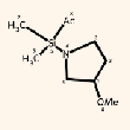 COC1CCN([Si](C)(C)C(C)=O)C1